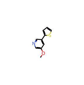 COc1cn[c]c(-c2cccs2)c1